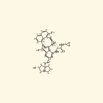 CC[C@H](NC1CC1)[C@H]1C[C@H]2C#Cc3c(F)ccc4cccc(c34)-c3nc2c2c(nc(OC[C@@]45CCCN4C[C@H](F)C5)nc2c3F)N1